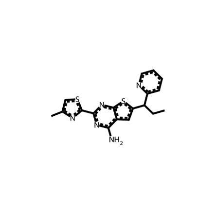 CCC(c1ccccn1)c1cc2c(N)nc(-c3nc(C)cs3)nc2s1